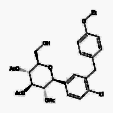 CCOc1ccc(Cc2cc([C@@H]3O[C@H](CO)[C@@H](OC(C)=O)[C@H](OC(C)=O)[C@H]3OC(C)=O)ccc2Cl)cc1